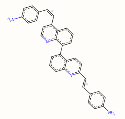 Nc1ccc(/C=C\c2ccnc3c(-c4cccc5nc(/C=C/c6ccc(N)cc6)ccc45)cccc23)cc1